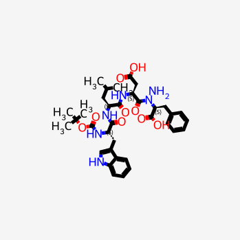 CC(C)C[C@H](NC(=O)[C@H](Cc1c[nH]c2ccccc12)NC(=O)OC(C)(C)C)C(=O)N[C@@H](CC(=O)O)C(=O)N(N)[C@@H](Cc1ccccc1)C(=O)O